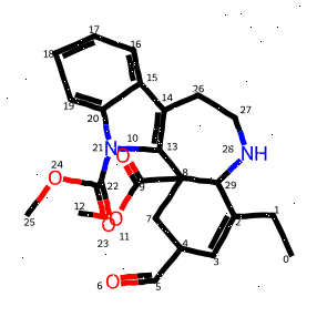 CCC1=CC(C=O)CC2(C(=O)OC)c3c(c4ccccc4n3C(=O)OC)CCNC12